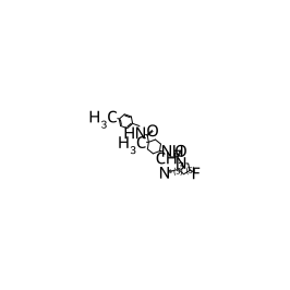 Cc1ccc(CNC(=O)C2(C)CCC(C)(NCC(=O)N3C[C@@H](F)C[C@H]3C#N)CC2)cc1